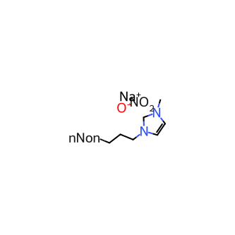 CCCCCCCCCCCCN1C=CN(C)C1.O=[N+]([O-])[O-].[Na+]